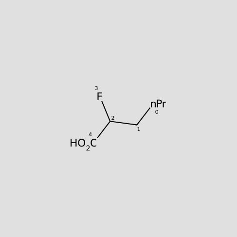 CCCCC(F)C(=O)O